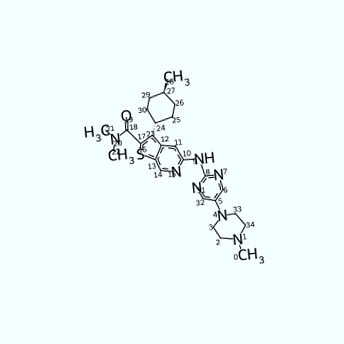 CN1CCN(c2cnc(Nc3cc4c(cn3)sc(C(=O)N(C)C)c4[C@H]3CC[C@H](C)CC3)nc2)CC1